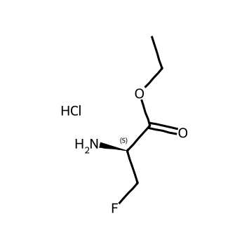 CCOC(=O)[C@H](N)CF.Cl